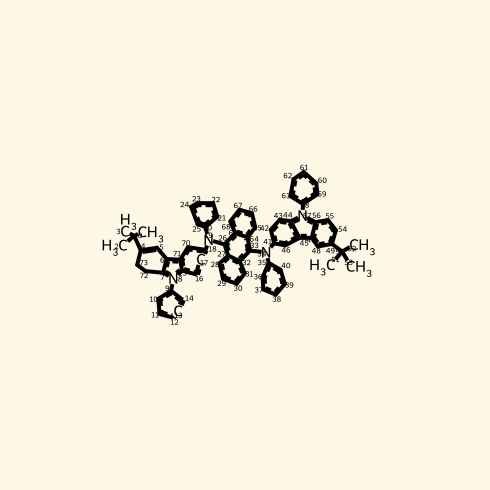 CC(C)(C)C1=Cc2c(n(-c3ccccc3)c3ccc(N(c4ccccc4)c4c5ccccc5c(N(c5ccccc5)c5ccc6c(c5)c5cc(C(C)(C)C)ccc5n6-c5ccccc5)c5ccccc45)cc23)CC1